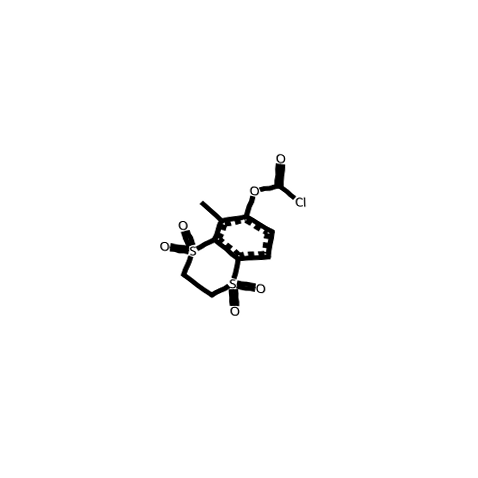 Cc1c(OC(=O)Cl)ccc2c1S(=O)(=O)CCS2(=O)=O